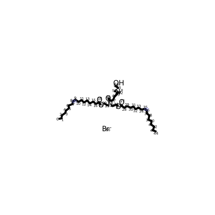 CCCCCCCC/C=C\CCCCCCCC(=O)OCCN(CCOC(=O)CCCCCCC/C=C\CCCCCCCC)C(=O)CCC[N+](C)(C)CCO.[Br-]